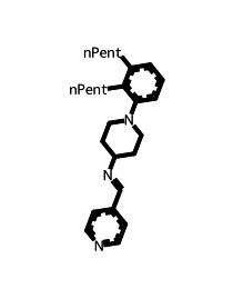 CCCCCc1cccc(N2CCC(/N=C/c3ccncc3)CC2)c1CCCCC